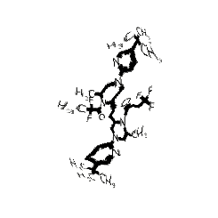 CC1CN(c2ccc(C(C)(C)C)cn2)CC(CCC2CN(c3ccc(C(C)(C)C)cn3)CC(C)N2C(=O)C(C)(F)F)N1C(=O)CC(F)(F)F